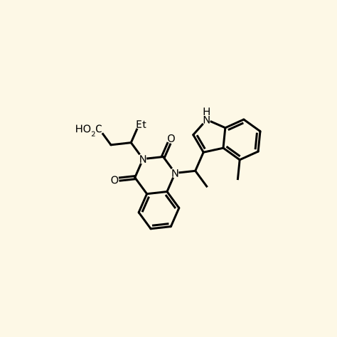 CCC(CC(=O)O)n1c(=O)c2ccccc2n(C(C)c2c[nH]c3cccc(C)c23)c1=O